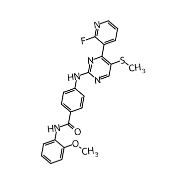 COc1ccccc1NC(=O)c1ccc(Nc2ncc(SC)c(-c3cccnc3F)n2)cc1